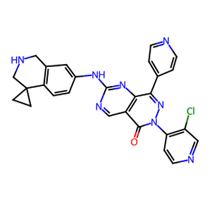 O=c1c2cnc(Nc3ccc4c(c3)CNCC43CC3)nc2c(-c2ccncc2)nn1-c1ccncc1Cl